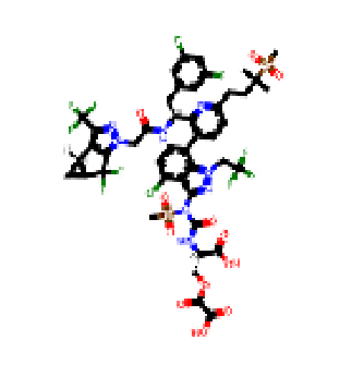 CC(C)(CCc1ccc(-c2ccc(Cl)c3c(N(C(=O)N[C@@H](COC(=O)C(=O)O)C(=O)O)S(C)(=O)=O)nn(CC(F)(F)F)c23)c([C@H](Cc2cc(F)cc(F)c2)NC(=O)Cn2nc(C(F)(F)F)c3c2C(F)(F)C2C[C@H]32)n1)S(C)(=O)=O